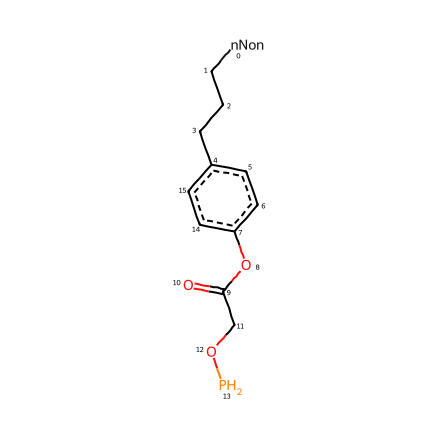 CCCCCCCCCCCCc1ccc(OC(=O)COP)cc1